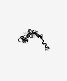 CC/C=C\C/C=C\C/C=C\C/C=C\C/C=C\CCCC(=O)N1CCC(NC(=O)c2cc(C3CC(O)(c4ccc(OCc5c(-c6c(Cl)cccc6Cl)noc5C5CC5)cc4Cl)C3)n(C(C)C)n2)CC1